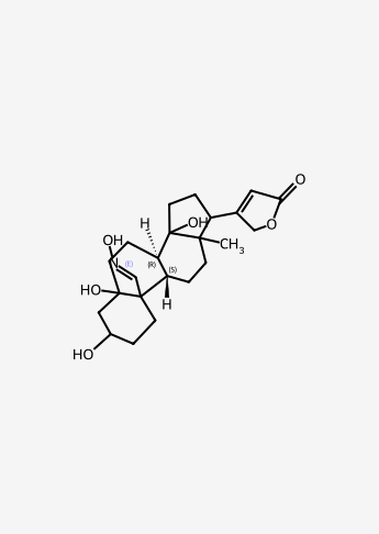 CC12CC[C@H]3[C@@H](CCC4(O)CC(O)CCC34/C=N/O)C1(O)CCC2C1=CC(=O)OC1